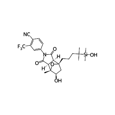 CC(C)(CCC[C@@]12C[C@@H](O)[C@@](C)(O1)[C@H]1C(=O)N(c3ccc(C#N)c(C(F)(F)F)c3)C(=O)[C@H]12)[Si](C)(C)O